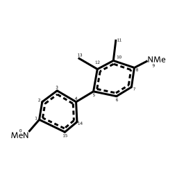 CNc1ccc(-c2ccc(NC)c(C)c2C)cc1